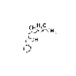 CC(C)=CCCC(C)=CC(O)Cc1ccccc1